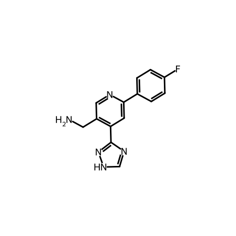 NCc1cnc(-c2ccc(F)cc2)cc1-c1nc[nH]n1